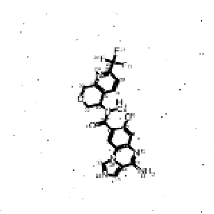 CN(C(=O)c1cc2c(cc1Cl)nc(N)c1cncn12)C1COCc2nc(C(F)(F)F)ccc21